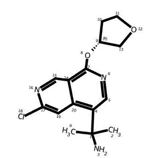 CC(C)(N)c1cnc(O[C@@H]2CCOC2)c2cnc(Cl)cc12